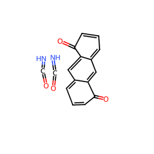 N=C=O.N=C=O.O=C1C=CC=c2cc3c(cc21)=CC=CC3=O